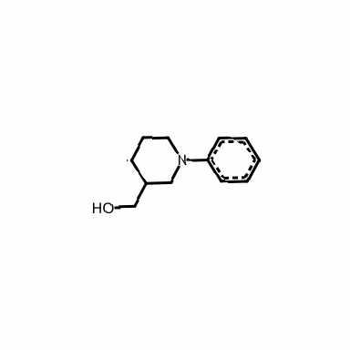 OCC1[CH]CCN(c2ccccc2)C1